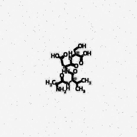 CC(C)[C@H](NC(=O)[C@H](C)N)C(=O)N[C@@H](CC(=O)O)C(=O)N[C@@H](CO)C(=O)O